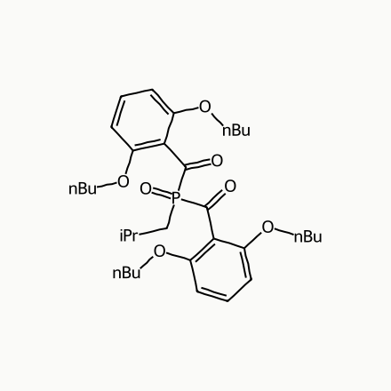 CCCCOc1cccc(OCCCC)c1C(=O)P(=O)(CC(C)C)C(=O)c1c(OCCCC)cccc1OCCCC